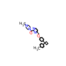 Cc1ccc(C2(c3ccc(OCc4ccnc(C(=O)N5CCN(C)CC5)n4)cc3)CCC2)cc1